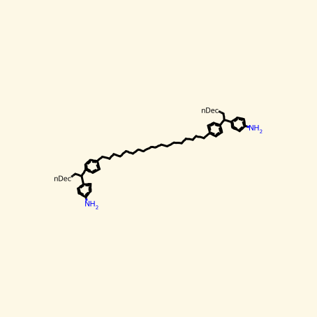 CCCCCCCCCCCC(c1ccc(N)cc1)c1ccc(CCCCCCCCCCCCCCCCCCc2ccc(C(CCCCCCCCCCC)c3ccc(N)cc3)cc2)cc1